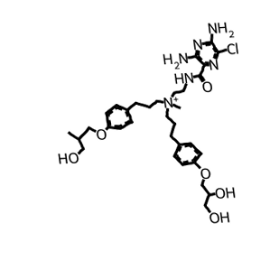 CC(CO)COc1ccc(CCC[N+](C)(CCCc2ccc(OCC(O)CO)cc2)CCNC(=O)c2nc(Cl)c(N)nc2N)cc1